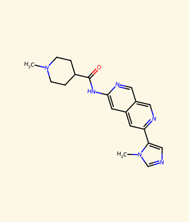 CN1CCC(C(=O)Nc2cc3cc(-c4cncn4C)ncc3cn2)CC1